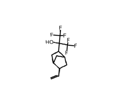 C=CC1CC2CC1CC2C(O)(C(F)(F)F)C(F)(F)F